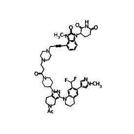 CC(=O)N1CCc2c(c(N3CCCc4cc(-c5cnn(C)c5)c(C(F)F)cc43)nn2C2CCN(C(=O)CCN3CCN(CC#Cc4cccc5c4n(C)c(=O)n5C4CCC(=O)NC4=O)CC3)CC2)C1